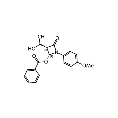 COc1ccc(N2C(=O)[C@H](C(C)O)[C@H]2OC(=O)c2ccccc2)cc1